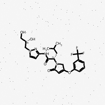 CC(C)C[C@@H](C(=O)Nc1ccn(C[C@@H](O)CO)n1)N1CC(Oc2cccc(C(F)(F)F)c2)=CC1=O